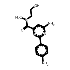 CN(CCO)C(=O)c1cc(N)nc(-c2ccc(N)cc2)n1